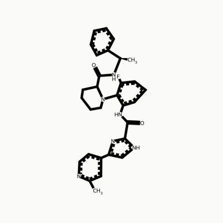 Cc1cc(-c2c[nH]c(C(=O)Nc3cccc(F)c3N3CCCCC3C(=O)N[C@H](C)c3ccccc3)n2)ccn1